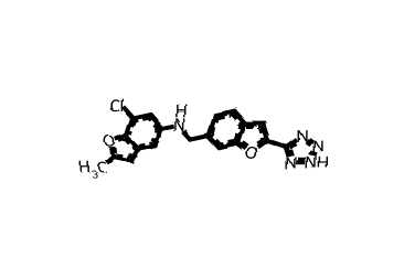 Cc1cc2cc(NCc3ccc4cc(-c5nn[nH]n5)oc4c3)cc(Cl)c2o1